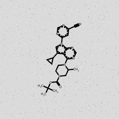 CC1CN(C(=O)OC(C)(C)C)CCN1c1ncnc2c1c(C1CC1)cn2-c1cc(C#N)ncn1